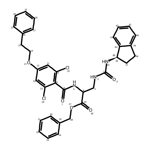 O=C(NCC(NC(=O)c1c(Cl)cc(OCCc2ccccc2)cc1Cl)C(=O)OCc1ccccc1)N[C@@H]1CCc2ccccc21